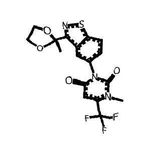 Cn1c(C(F)(F)F)cc(=O)n(-c2ccc3snc(C4(C)OCCO4)c3c2)c1=O